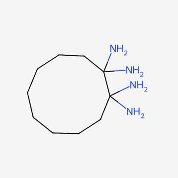 NC1(N)CCCCCCCCC1(N)N